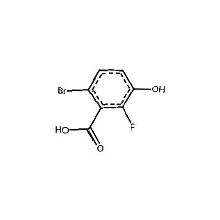 O=C(O)c1c(Br)ccc(O)c1F